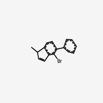 CC1C=Cc2c1ccc(-c1ccccc1)c2Br